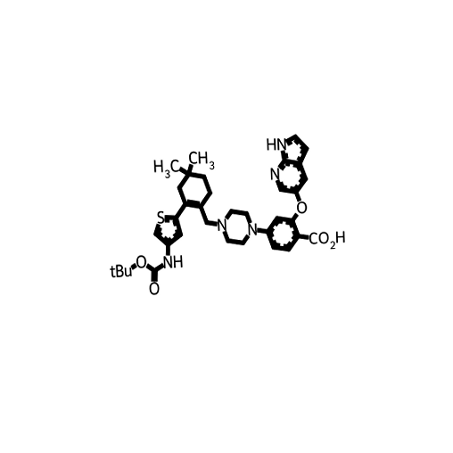 CC1(C)CCC(CN2CCN(c3ccc(C(=O)O)c(Oc4cnc5[nH]ccc5c4)c3)CC2)=C(c2cc(NC(=O)OC(C)(C)C)cs2)C1